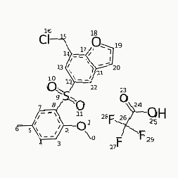 COc1ccc(C)cc1S(=O)(=O)c1cc(CCl)c2occc2c1.O=C(O)C(F)(F)F